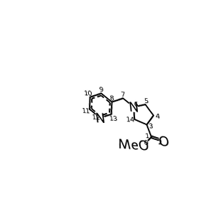 COC(=O)C1CCN(Cc2cccnc2)C1